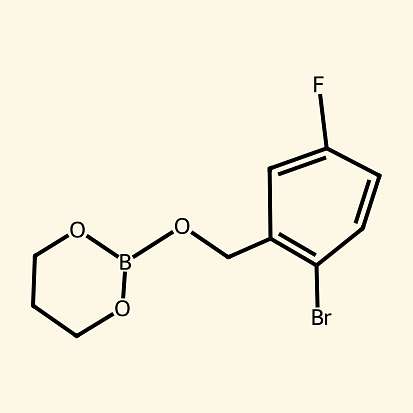 Fc1ccc(Br)c(COB2OCCCO2)c1